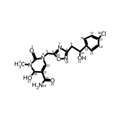 CN1C(=O)N(Cc2nc(C[C@H](O)c3ccc(Cl)cc3)no2)C=C(C(N)=O)C1O